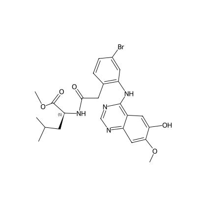 COC(=O)[C@H](CC(C)C)NC(=O)Cc1ccc(Br)cc1Nc1ncnc2cc(OC)c(O)cc12